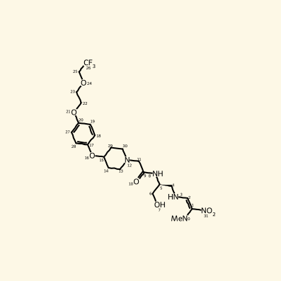 CN/C(=C\NC[C@@H](CO)NC(=O)CN1CCC(Oc2ccc(OCCOCC(F)(F)F)cc2)CC1)[N+](=O)[O-]